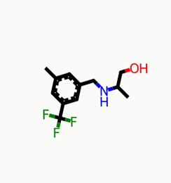 Cc1cc(CNC(C)CO)cc(C(F)(F)F)c1